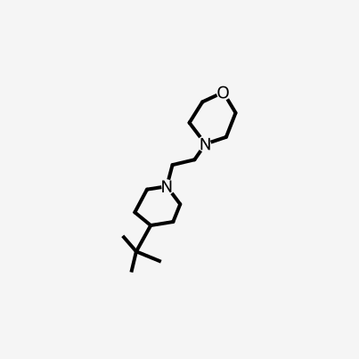 CC(C)(C)C1CCN(CCN2CCOCC2)CC1